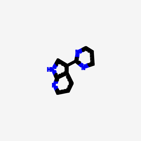 c1cnc(-c2c[nH]c3ncccc23)nc1